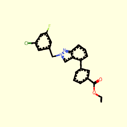 CCOC(=O)c1cccc(-c2cccc3nn(Cc4cc(F)cc(Cl)c4)cc23)c1